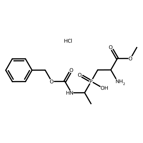 COC(=O)C(N)CP(=O)(O)C(C)NC(=O)OCc1ccccc1.Cl